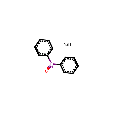 O=[PH](c1ccccc1)c1ccccc1.[NaH]